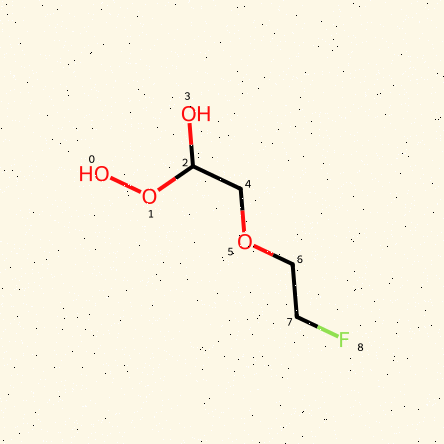 OOC(O)COCCF